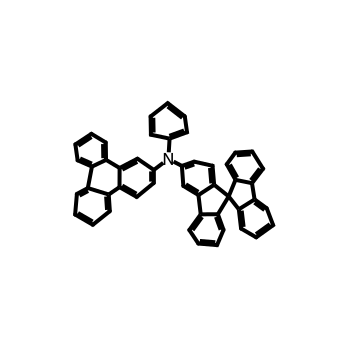 c1ccc(N(c2ccc3c(c2)-c2ccccc2C32c3ccccc3-c3ccccc32)c2ccc3c4ccccc4c4ccccc4c3c2)cc1